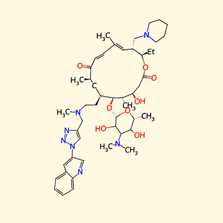 CC[C@H]1OC(=O)C[C@@H](O)[C@H](C)[C@@H](O[C@@H]2O[C@H](C)C(O)C(N(C)C)C2O)[C@@H](CCN(C)Cc2cn(-c3cnc4ccccc4c3)nn2)C[C@@H](C)C(=O)/C=C/C(C)=C/[C@@H]1CN1CCCCC1